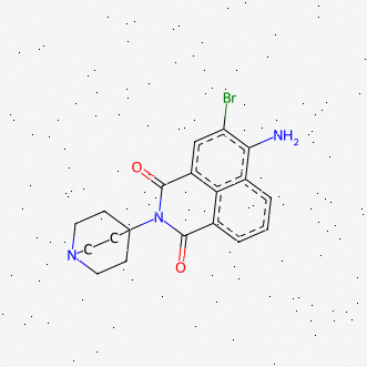 Nc1c(Br)cc2c3c(cccc13)C(=O)N(C13CCN(CC1)CC3)C2=O